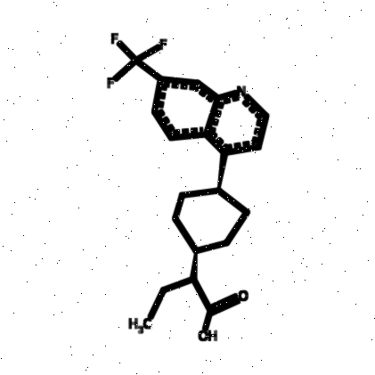 CCC(C(=O)O)[C@H]1CC[C@@H](c2ccnc3cc(C(F)(F)F)ccc32)CC1